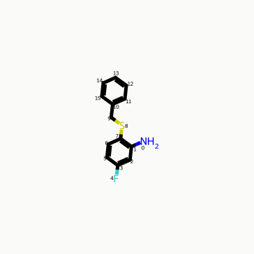 Nc1cc(F)ccc1SCc1ccccc1